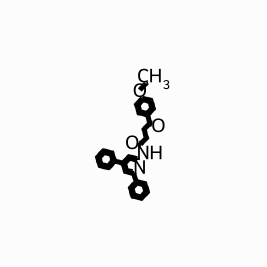 CCOc1ccc(C(=O)CCC(=O)Nc2cc(-c3ccccc3)cc(-c3ccccc3)n2)cc1